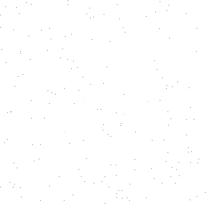 CSc1cc(C)[nH]c(=O)c1CNC(=O)c1cc(-c2ccc(N3CC(C)CC(C)C3)nc2)c2c(c1C)OC(C)(C1CCN(CC(F)(F)F)CC1)O2